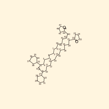 C(CCCCCCC(SC(CCCCCCCCCCCCC1CCCO1)C1CCCCC1)C1CCCCC1)CCCCCC1CCCO1